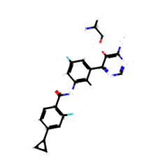 Cc1c(NC(=O)c2ccc(C3CC3)cc2F)cc(F)cc1-c1ncnc(N)c1OCC(C)N